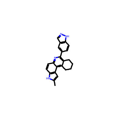 Cc1cc2c(ccc3nc(-c4ccc5[nH]ncc5c4)c4c(c32)CCCC4)[nH]1